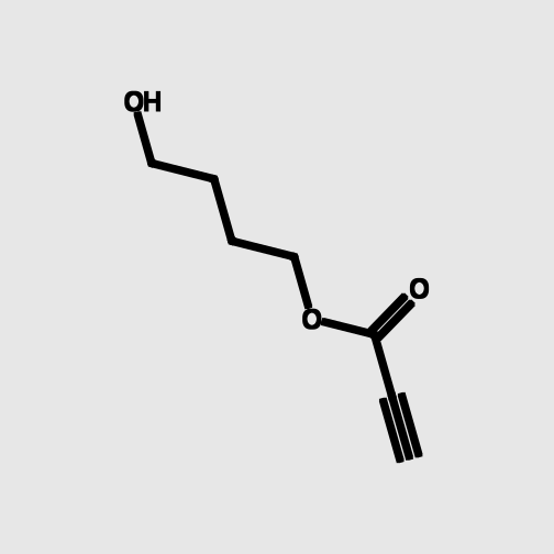 C#CC(=O)OCCCCO